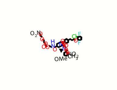 COc1ccc(CN(C(=O)C2=C(c3ccc(CCCOc4c(F)ccc(F)c4Cl)cc3)CC3CC(C(=O)NCCOC(=O)OCCOCCO[N+](=O)[O-])CC2N3C(=O)OCCOCO[N+](=O)[O-])C2CC2)cc1C